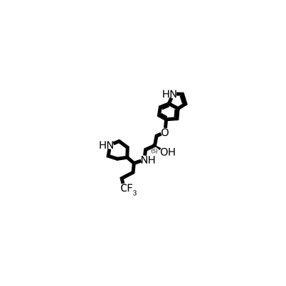 O[C@@H](CNC(CCC(F)(F)F)C1CCNCC1)COc1ccc2[nH]ccc2c1